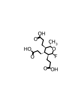 C[C@@H]1O[C@@H](F)[C@@H](CCC(=O)O)[C@H](CCC(=O)O)[C@H]1CCC(=O)O